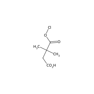 CC(C)(CC(=O)O)C(=O)OCl